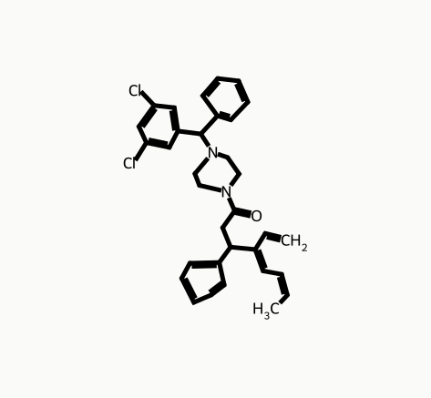 C=C/C(=C\C=C/C)C(CC(=O)N1CCN(C(c2ccccc2)c2cc(Cl)cc(Cl)c2)CC1)c1ccccc1